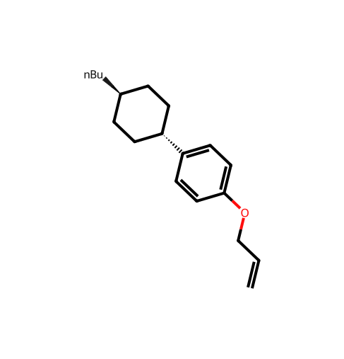 C=CCOc1ccc([C@H]2CC[C@H](CCCC)CC2)cc1